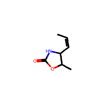 C/C=C\C1NC(=O)OC1C